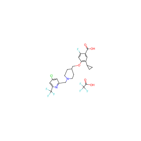 O=C(O)C(F)(F)F.O=C(O)c1cc(C2CC2)c(OCC2CCN(Cc3cc(Cl)cc(C(F)(F)F)n3)CC2)cc1F